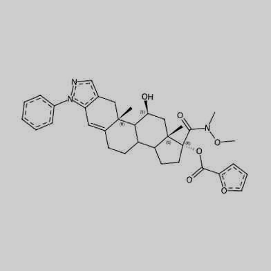 CON(C)C(=O)[C@@]1(OC(=O)c2ccco2)CCC2C3CCC4=Cc5c(cnn5-c5ccccc5)C[C@]4(C)C3[C@@H](O)C[C@@]21C